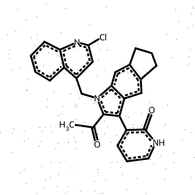 CC(=O)c1c(-c2ccc[nH]c2=O)c2cc3c(cc2n1Cc1cc(Cl)nc2ccccc12)CCC3